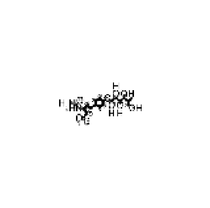 COC(=O)c1sc(-c2ccc(OC(O)C(O)C(O)C(O)C(C)CO)cc2)cc1NC(N)=O